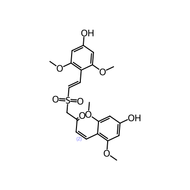 COc1cc(O)cc(OC)c1C=CS(=O)(=O)CC(=O)/C=C\c1c(OC)cc(O)cc1OC